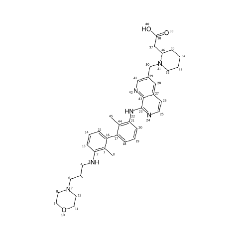 Cc1c(NCCCN2CCOCC2)cccc1-c1cccc(Nc2nccc3cc(CN4CCCCC4CC(=O)O)cnc23)c1C